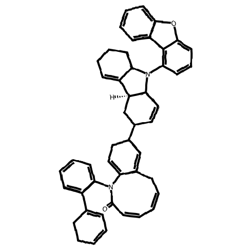 O=C1/C=C\C=C/CC2=CC(C3C=CC4[C@@H](C3)C3=CCCCC3N4c3cccc4oc5ccccc5c34)CC=C2N1c1ccccc1C1=CC=CCC1